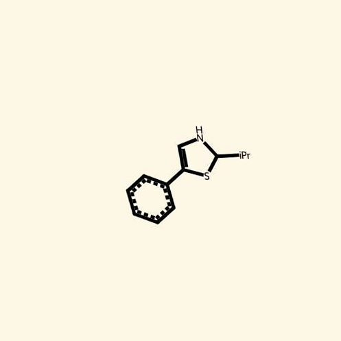 CC(C)C1NC=C(c2ccccc2)S1